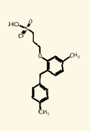 Cc1ccc(Cc2ccc(C)cc2OCCCS(=O)(=O)O)cc1